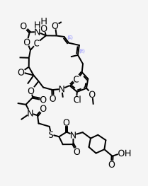 COc1cc2cc(c1Cl)N(C)C(=O)CC(OC(=O)C(C)N(C)C(=O)CCSC1CC(=O)N(CC3CCC(C(=O)O)CC3)C1=O)C1(C)OC1C(C)C1CC(O)(NC(=O)O1)C(OC)/C=C/C=C(\C)C2